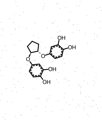 Oc1ccc(O[C@H]2CCC[C@@H]2Oc2ccc(O)c(O)c2)cc1O